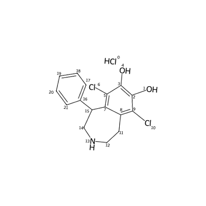 Cl.Oc1c(O)c(Cl)c2c(c1Cl)CCNCC2c1ccccc1